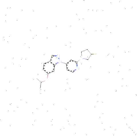 CC(C)Oc1ccc2cnn(-c3ccnc(N4CCC(F)C4)c3)c2c1